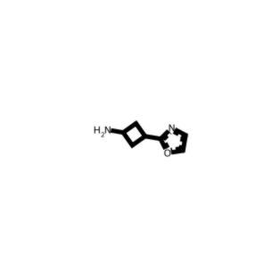 NC1CC(c2ncco2)C1